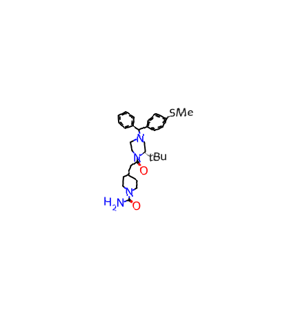 CSc1ccc(C(c2ccccc2)N2CCN(C(=O)CC3CCN(C(N)=O)CC3)[C@@H](C(C)(C)C)C2)cc1